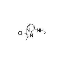 Cc1nc2c(N)cccn2c1Cl